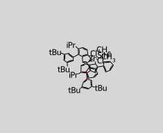 CC(C)c1ccc2c(c1-c1cc(C(C)(C)C)cc(C(C)(C)C)c1)C=C(c1ccccc1)[CH]2[Zr]([Cl])([Cl])([CH]1C(c2ccccc2)=Cc2c1ccc(C(C)C)c2-c1cc(C(C)(C)C)cc(C(C)(C)C)c1)[SiH](C)C